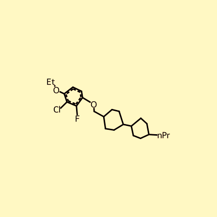 CCCC1CCC(C2CCC(COc3ccc(OCC)c(Cl)c3F)CC2)CC1